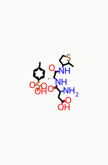 CC1SCCC1NC(=O)[C@@H](C)NC(=O)[C@@H](N)CC(=O)O.Cc1ccc(S(=O)(=O)O)cc1